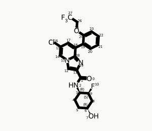 O=C(N[C@@H]1CC[C@@H](O)C[C@@H]1F)c1cn2cc(Cl)cc(-c3ccccc3OCC(F)(F)F)c2n1